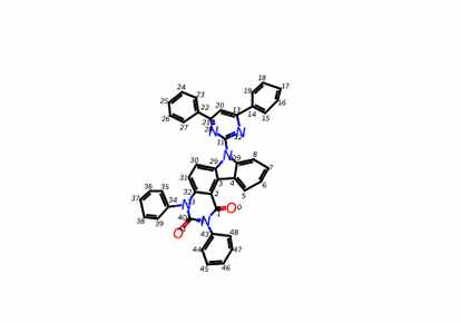 O=c1c2c3c4ccccc4n(-c4nc(-c5ccccc5)cc(-c5ccccc5)n4)c3ccc2n(-c2ccccc2)c(=O)n1-c1ccccc1